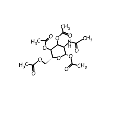 CC(=O)N[C@H]1[C@H](OC(C)=O)O[C@H](COC(C)=O)[C@@H](OC(C)=O)[C@H]1OC(C)=O